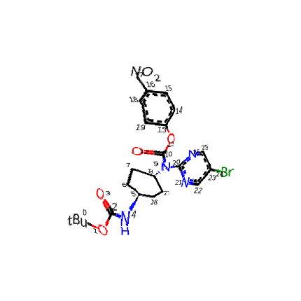 CC(C)(C)OC(=O)N[C@H]1CC[C@H](N(C(=O)Oc2ccc([N+](=O)[O-])cc2)c2ncc(Br)cn2)CC1